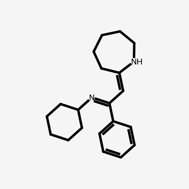 C(=C1CCCCCN1)C(=NC1CCCCC1)c1ccccc1